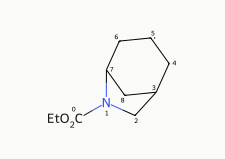 CCOC(=O)N1CC2C[CH]CC1C2